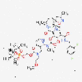 COCCN(Cc1cccnc1N(C)C(=O)Oc1c2n(cc(C(=O)NCc3ccc(F)cc3F)c1=O)[C@@H]1CN(C2=O)[C@@H](C)CC[C@]12CC(C)=NO2)C(=O)OCOP(=O)(OC(C)(C)C)OC(C)(C)C